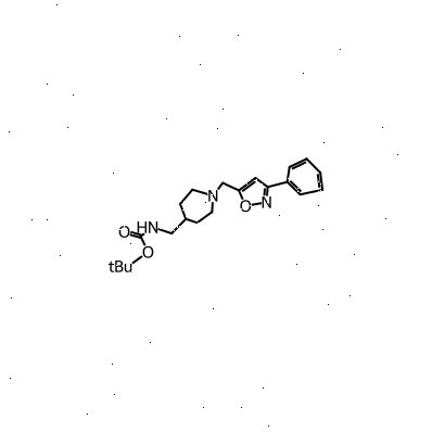 CC(C)(C)OC(=O)NCC1CCN(Cc2cc(-c3ccccc3)no2)CC1